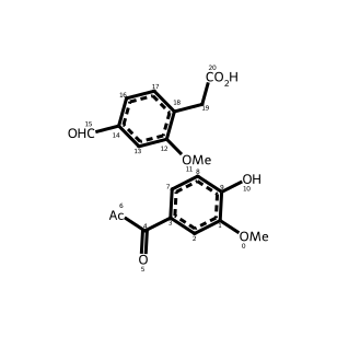 COc1cc(C(=O)C(C)=O)ccc1O.COc1cc(C=O)ccc1CC(=O)O